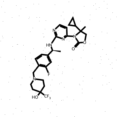 C[C@H](Nc1nccc(N2C(=O)OCC2(C)C2CC2)n1)c1ccc(CN2CCC(O)(C(F)(F)F)CC2)c(F)c1